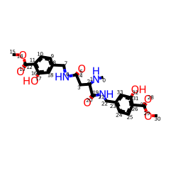 CNC(CC(=O)NCc1ccc(C(=O)OC)c(O)c1)C(=O)NCc1ccc(C(=O)OC)c(O)c1